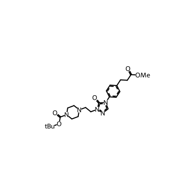 COC(=O)CCc1ccc(-n2cnn(CCN3CCN(C(=O)OC(C)(C)C)CC3)c2=O)cc1